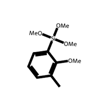 COc1c(C)cccc1[Si](OC)(OC)OC